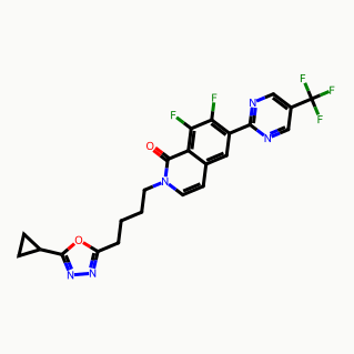 O=c1c2c(F)c(F)c(-c3ncc(C(F)(F)F)cn3)cc2ccn1CCCCc1nnc(C2CC2)o1